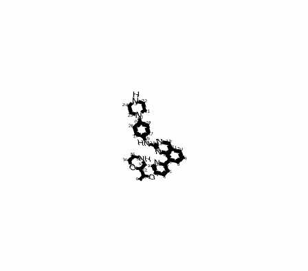 CC(Oc1ccc(-c2cccc3cnc(Nc4ccc(N5CCNCC5)cc4)nc23)nc1)C1CNCCO1